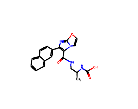 CC(CNC(=O)c1c(-c2ccc3ccccc3c2)nc2occn12)NC(=O)O